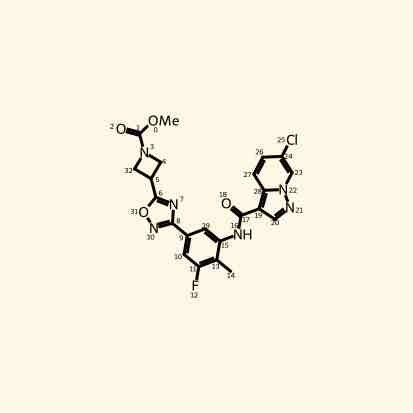 COC(=O)N1CC(c2nc(-c3cc(F)c(C)c(NC(=O)c4cnn5cc(Cl)ccc45)c3)no2)C1